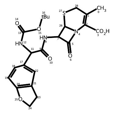 CC1=C(C(=O)O)N2C(=O)C(NC(=O)C(NC(=O)OC(C)(C)C)c3ccc4c(c3)CCO4)C2SC1